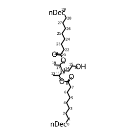 CCCCCCCCCCCCCCCCCC(=O)OC(C)N(CCO)C(C)OC(=O)CCCCCCCCCCCCCCCCC